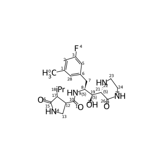 Cc1cc(F)cc(C[C@H](NC(=O)C2CNC(=O)C2C(C)C)[C@H](O)[C@@H]2NCCNC2=O)c1